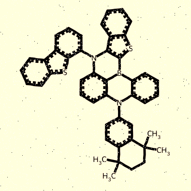 CC1(C)CCC(C)(C)c2cc(N3c4ccccc4B4c5sc6ccccc6c5N(c5cccc6c5sc5ccccc56)c5cccc3c54)ccc21